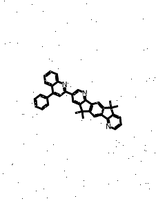 CC1(C)c2cc3c(cc2-c2ncccc21)C(C)(C)c1cc(-c2cc(-c4ccccc4)c4ccccc4n2)cnc1-3